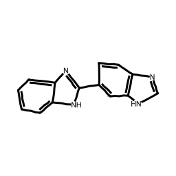 [c]1c(-c2nc3ccccc3[nH]2)ccc2nc[nH]c12